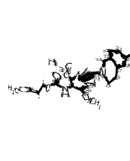 COCCOC(=O)Nc1c(OC)nc(N2CCc3cc(F)ccc3C2)nc1OC